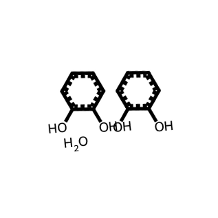 O.Oc1ccccc1O.Oc1ccccc1O